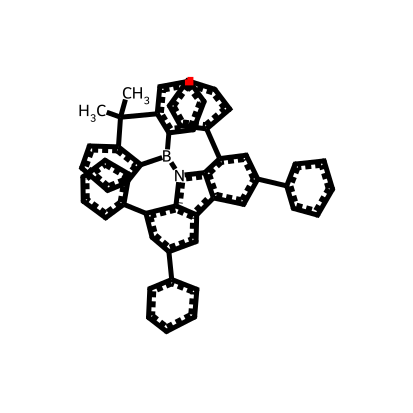 CC1(C)c2ccccc2B(n2c3c(-c4ccccc4)cc(-c4ccccc4)cc3c3cc(-c4ccccc4)cc(-c4ccccc4)c32)c2ccccc21